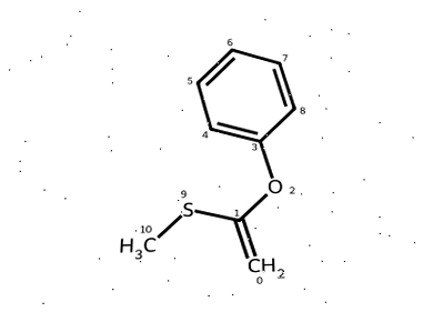 C=C(Oc1ccccc1)SC